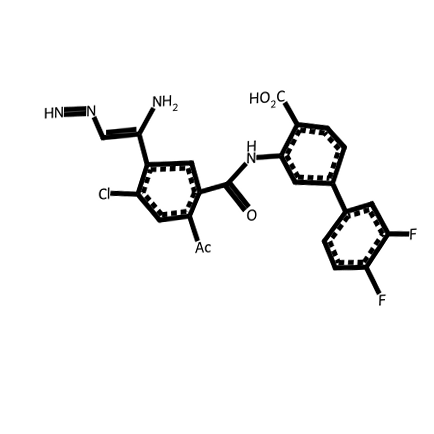 CC(=O)c1cc(Cl)c(/C(N)=C/N=N)cc1C(=O)Nc1cc(-c2ccc(F)c(F)c2)ccc1C(=O)O